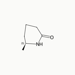 C[C@H]1CCCC(=O)N1